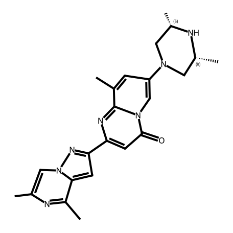 Cc1cn2nc(-c3cc(=O)n4cc(N5C[C@@H](C)N[C@@H](C)C5)cc(C)c4n3)cc2c(C)n1